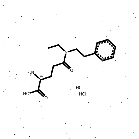 CCN(CCc1ccccc1)C(=O)CC[C@H](N)C(=O)O.Cl.Cl